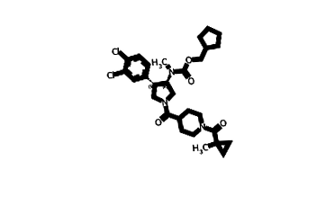 CN(C(=O)OCC1CCCC1)[C@H]1CN(C(=O)C2CCN(C(=O)C3(C)CC3)CC2)C[C@@H]1c1ccc(Cl)c(Cl)c1